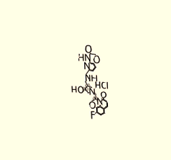 Cl.O=C1COc2ccc(CNC[C@H]3CN(C[C@@H]4COc5c(F)ccc6ccc(=O)n4c56)C[C@H]3O)nc2N1